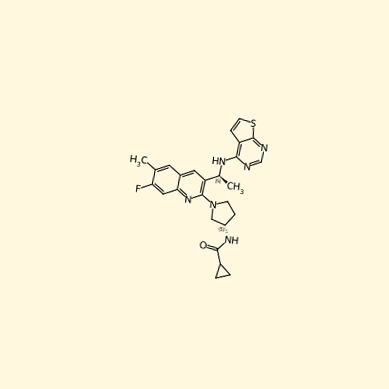 Cc1cc2cc([C@H](C)Nc3ncnc4sccc34)c(N3CC[C@H](NC(=O)C4CC4)C3)nc2cc1F